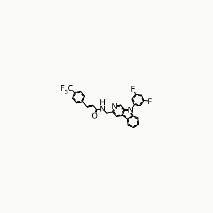 O=C(/C=C/c1ccc(C(F)(F)F)cc1)NCc1cc2c3ccccc3n(-c3cc(F)cc(F)c3)c2cn1